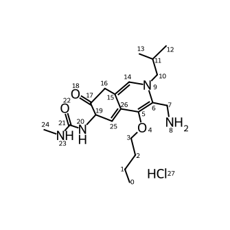 CCCCOC1=C(CN)N(CC(C)C)C=C2CC(=O)C(NC(=O)NC)C=C21.Cl